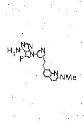 CNc1ccc2ccc(CCc3cncc(-n4cc(F)c5c(N)ncnc54)c3)cc2n1